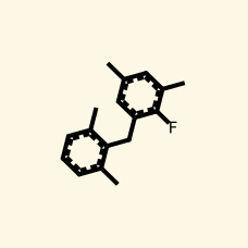 Cc1cc(C)c(F)c(Cc2c(C)cccc2C)c1